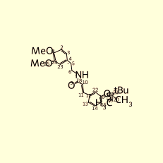 COc1ccc([CH]CNC(=O)/C=C/c2cccc(O[Si](C)(C)C(C)(C)C)c2)cc1OC